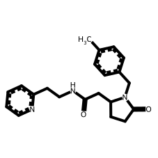 Cc1ccc(CN2C(=O)CCC2CC(=O)NCCc2ccccn2)cc1